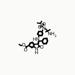 CCOC(=O)c1ccc2c(c1)NC(=O)C2=C(Nc1ccc(N(CC(C)(C)N)S(=O)(=O)C(C)C)cc1)c1ccccc1